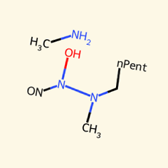 CCCCCCN(C)N(O)N=O.CN